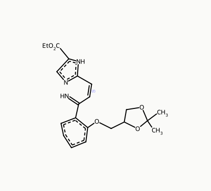 CCOC(=O)c1cnc(/C=C\C(=N)c2ccccc2OCC2COC(C)(C)O2)[nH]1